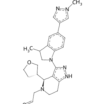 CC1CN(c2n[nH]c3c2[C@H]([C@@H]2CCOC2)N(CC=O)CC3)c2ccc(-c3cnn(C)c3)cc21